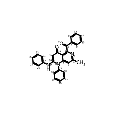 Cc1cc2c(c(C(=O)c3ccccc3)n1)c(=O)cc(Nc1ccccc1)n2-c1ccccc1